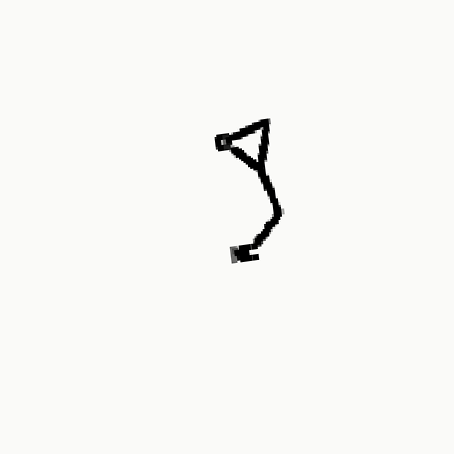 N#CCC1CO1